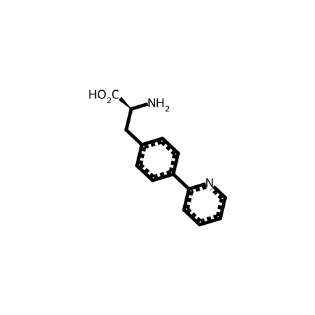 N[C@@H](Cc1ccc(-c2ccccn2)cc1)C(=O)O